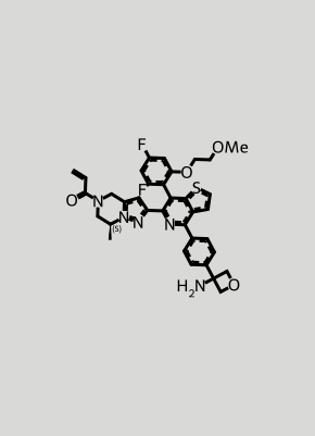 C=CC(=O)N1Cc2cc(-c3nc(-c4ccc(C5(N)COC5)cc4)c4ccsc4c3-c3c(F)cc(F)cc3OCCOC)nn2[C@@H](C)C1